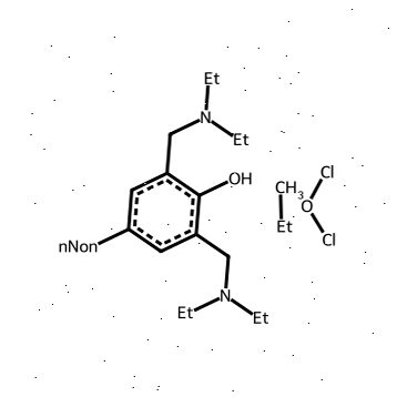 CCC.CCCCCCCCCc1cc(CN(CC)CC)c(O)c(CN(CC)CC)c1.ClOCl